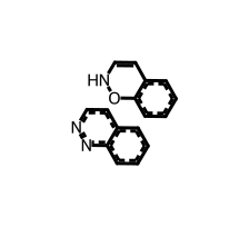 C1=Cc2ccccc2ON1.c1ccc2nnccc2c1